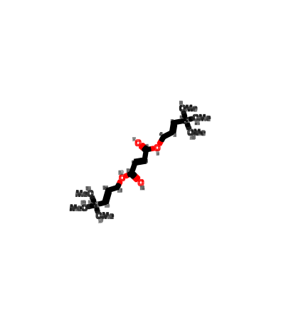 CO[Si](C=CCOC(=O)/C=C/C(=O)OCC=C[Si](OC)(OC)OC)(OC)OC